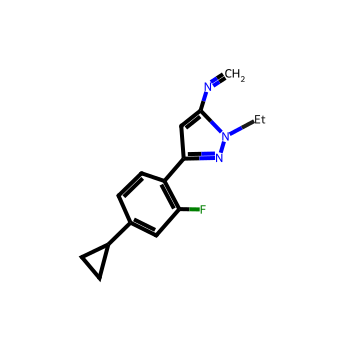 C=Nc1cc(-c2ccc(C3CC3)cc2F)nn1CC